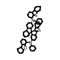 c1ccc(N(c2ccc3c(c2)C2(c4ccccc4-c4ccc(N(c5ccccc5)c5cccc6c5sc5ccccc56)cc42)c2c-3sc3ccccc23)c2cccc3c2oc2ccccc23)cc1